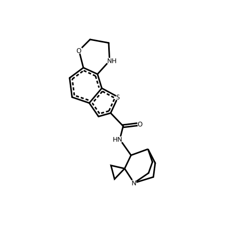 O=C(NC1C2CCN(CC2)C12CC2)c1cc2ccc3c(c2s1)NCCO3